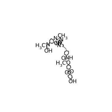 CCN(CCO)c1ccc(/N=C2/C(C)=Nn3c(CCCc4ccc(NC(=O)C(C)Oc5ccc(S(=O)(=O)c6ccc(O)cc6)cc5)cc4)nnc32)c(C)c1